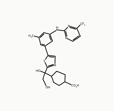 Cc1cc(Nc2nccc(C(F)(F)F)n2)cc(-c2cnc(C(O)(CO)C3CCC(C(=O)O)CC3)s2)c1